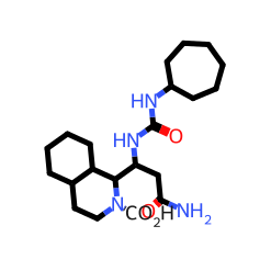 NC(=O)CC(NC(=O)NC1CCCCCC1)C1C2CCCCC2CCN1C(=O)O